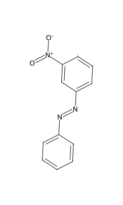 O=[N+]([O-])c1[c]ccc(/N=N/c2ccccc2)c1